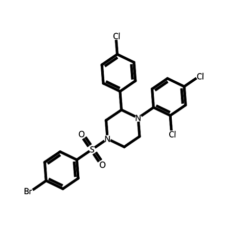 O=S(=O)(c1ccc(Br)cc1)N1CCN(c2ccc(Cl)cc2Cl)C(c2ccc(Cl)cc2)C1